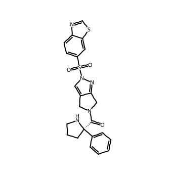 O=C(N1Cc2cn(S(=O)(=O)c3ccc4ncsc4c3)nc2C1)[C@]1(c2ccccc2)CCCN1